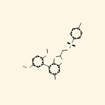 COc1ccc(OC)c(-c2cc(Cl)cc3c2OC(COS(=O)(=O)c2ccc(C)cc2)O3)c1